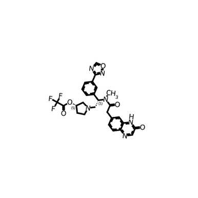 CN(C(=O)Cc1ccc2ncc(=O)[nH]c2c1)[C@H](CN1CC[C@H](OC(=O)C(F)(F)F)C1)c1cccc(-c2ncon2)c1